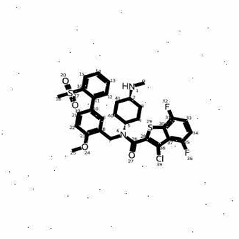 CN[C@H]1CC[C@H](N(Cc2cc(-c3ccccc3S(C)(=O)=O)ccc2OC)C(=O)c2sc3c(F)ccc(F)c3c2Cl)CC1